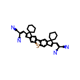 N#CC(C#N)=CC1=Cc2cc3sc4cc5c(cc4c3cc2C12CCCCC2)C1(CCCCC1)C(C=C(C#N)C#N)=C5